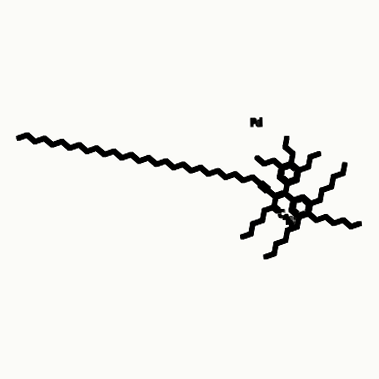 CCCCCCCCCCCCCCCCCCCCCCCCCCCCC#CC(C(=C=[N+]=[N-])CCCCC)=C(c1cc(CCC)c(CCC)c(CCC)c1)c1cc(CCCCCC)c(CCCCCC)c(CCCCCC)c1.[Pd]